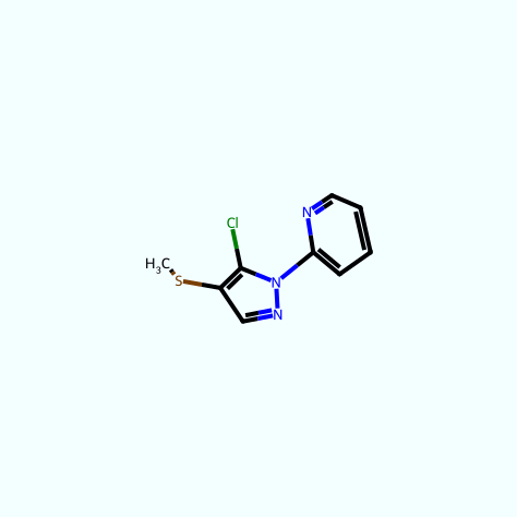 CSc1cnn(-c2ccccn2)c1Cl